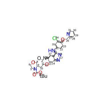 CC(C)(C)OC(=O)N1CCOCC1CCOc1cc2ncnc(Nc3ccc(OCc4ccccn4)c(Cl)c3)c2cc1[N+](=O)[O-]